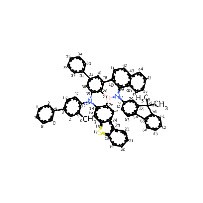 Cc1cc(-c2ccccc2)ccc1N1c2cc3sc4ccccc4c3cc2B2c3c(cc(-c4ccccc4)cc31)-c1ccc3ccccc3c1N2c1ccc2c(c1)C(C)(C)c1ccccc1-2